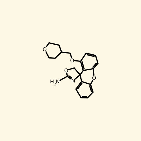 NC1=NC2(CO1)c1ccccc1Oc1cccc(OCC3CCOCC3)c12